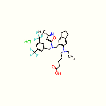 CCN(CCCCC(=O)O)c1cc2c(cc1CN(Cc1cc(C(F)(F)F)cc(C(F)(F)F)c1)c1cc(C)no1)CCC2.Cl